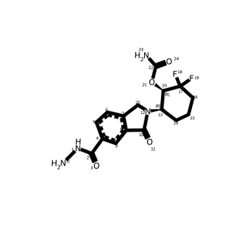 NNC(=O)c1ccc2c(c1)C(=O)N([C@@H]1CCCC(F)(F)[C@@H]1OC(N)=O)C2